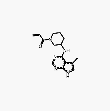 C=CC(=O)N1CCCC(Nc2ncnc3[nH]cc(C)c23)C1